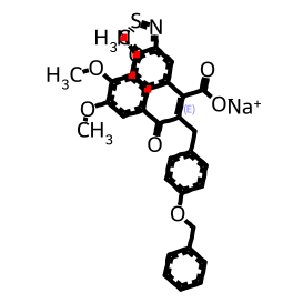 COc1cc(C(=O)/C(Cc2ccc(OCc3ccccc3)cc2)=C(/C(=O)[O-])c2ccc3nsnc3c2)cc(OC)c1OC.[Na+]